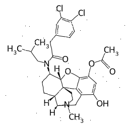 CC(=O)Oc1cc(O)c2c3c1O[C@H]1[C@H](N(CC(C)C)C(=O)Cc4ccc(Cl)c(Cl)c4)CC[C@H]4[C@@H](C2)N(C)CC[C@@]341